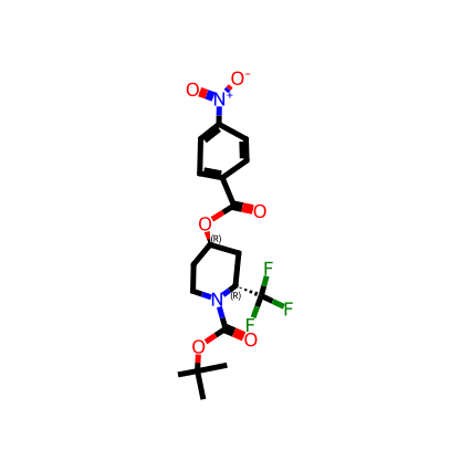 CC(C)(C)OC(=O)N1CC[C@@H](OC(=O)c2ccc([N+](=O)[O-])cc2)C[C@@H]1C(F)(F)F